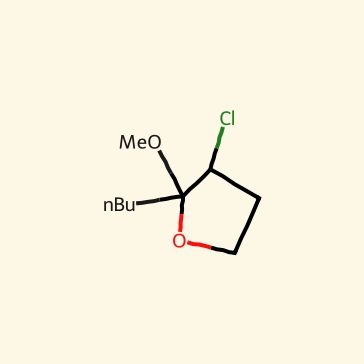 CCCCC1(OC)OCCC1Cl